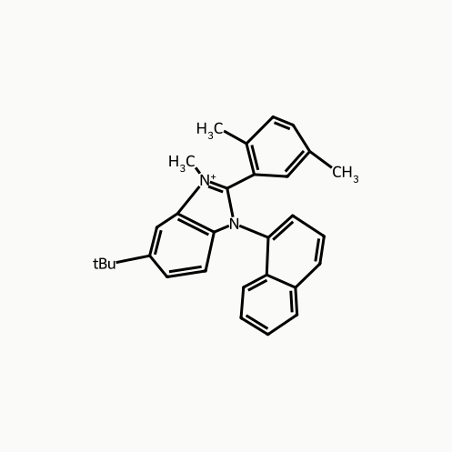 Cc1ccc(C)c(-c2n(-c3cccc4ccccc34)c3ccc(C(C)(C)C)cc3[n+]2C)c1